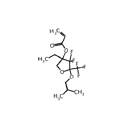 C=CC(=O)OC1(CC)COC(OCC(C)C)(C(F)(F)F)C1(F)F